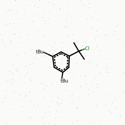 CC(C)(C)c1cc(C(C)(C)C)cc(C(C)(C)Cl)c1